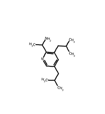 CC(C)Cc1cnc(C(C)N)c(CC(C)C)c1